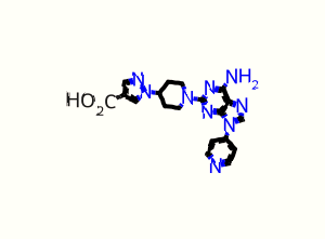 Nc1nc(N2CCC(n3cc(C(=O)O)cn3)CC2)nc2c1ncn2-c1ccncc1